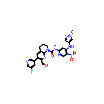 Cn1cc(Nc2cc(NC(=O)N3CCCc4cc(-c5cncc(F)c5)c(C=O)nc43)ncc2[N+](=O)[O-])cn1